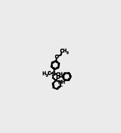 CCOc1ccc([Si](C)(C)CC2(Oc3ccccc3)C=CC=[C]N2)cc1